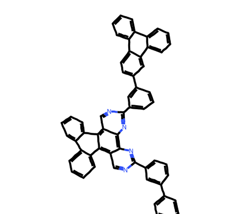 c1ccc(-c2cccc(-c3ncc4c(n3)c3nc(-c5cccc(-c6ccc7c8ccccc8c8ccccc8c7c6)c5)ncc3c3c5ccccc5c5ccccc5c43)c2)cc1